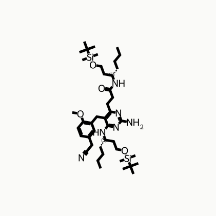 CCCC[C@@H](CCO[Si](C)(C)C(C)(C)C)NC(=O)CCc1nc(N)nc(N[C@@H](CCCC)CCO[Si](C)(C)C(C)(C)C)c1Cc1cc(CC#N)ccc1OC